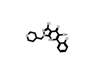 CCc1nn(CC2CCOCC2)c2[nH]c(-c3ccccc3Cl)c(O)c(=O)c12